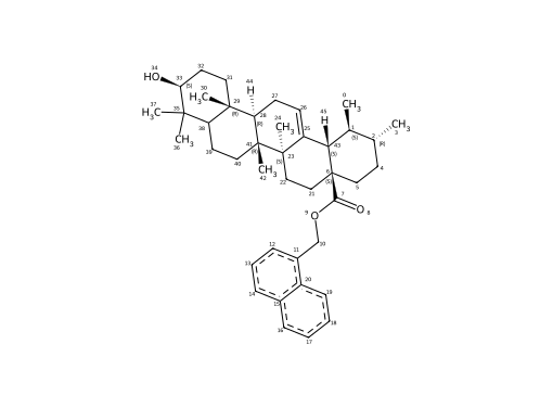 C[C@H]1[C@H](C)CC[C@]2(C(=O)OCc3cccc4ccccc34)CC[C@]3(C)C(=CC[C@@H]4[C@@]5(C)CC[C@H](O)C(C)(C)C5CC[C@]43C)[C@H]12